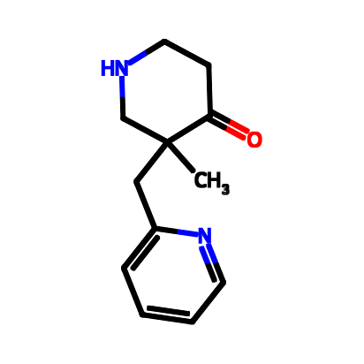 CC1(Cc2ccccn2)CNCCC1=O